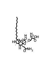 CCCCCCCCCCCCCC(=O)N[C@@H](C)C(=O)N[C@H](CCC(N)=O)C(=O)O[C@@H](COC[C@@H](N)C(=O)O)C(=O)O